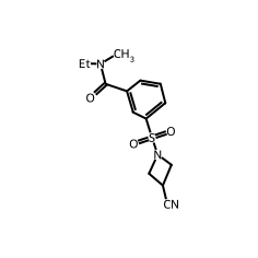 CCN(C)C(=O)c1cccc(S(=O)(=O)N2CC(C#N)C2)c1